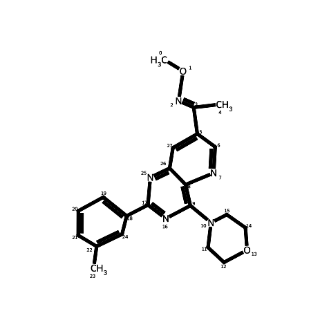 CON=C(C)c1cnc2c(N3CCOCC3)nc(-c3cccc(C)c3)nc2c1